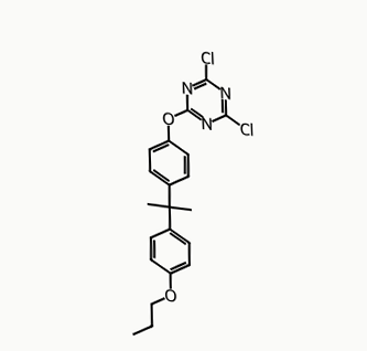 CCCOc1ccc(C(C)(C)c2ccc(Oc3nc(Cl)nc(Cl)n3)cc2)cc1